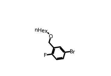 CCCCCCOCc1cc(Br)ccc1F